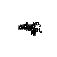 Cn1cnnc1Sc1ccc([N+](=O)[O-])cc1C(=O)Nc1c(F)cc(N2CCCC2)cc1F